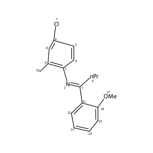 CCC/C(=N\c1ccc(Cl)cc1C)c1ccccc1OC